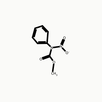 COC(=O)N(c1ccccc1)[N+](=O)[O-]